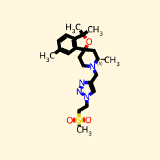 Cc1ccc2c(c1)C1(CCN(Cc3cn(CCS(C)(=O)=O)nn3)[C@@H](C)C1)OC2(C)C